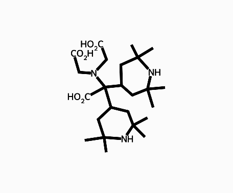 CC1(C)CC(C(C(=O)O)(C2CC(C)(C)NC(C)(C)C2)N(CC(=O)O)CC(=O)O)CC(C)(C)N1